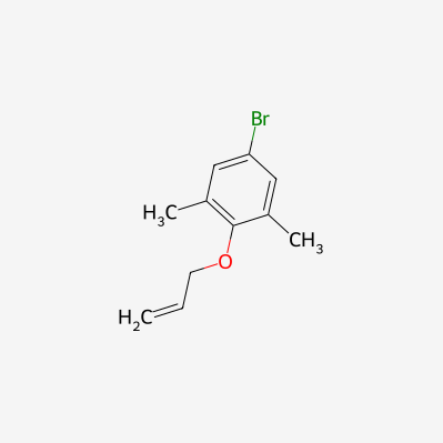 C=CCOc1c(C)cc(Br)cc1C